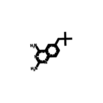 CC(C)(C)Cc1ccc2nc(N)nc(N)c2c1